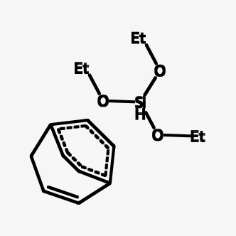 C1=Cc2ccc(cc2)C1.CCO[SiH](OCC)OCC